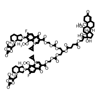 COc1c(N2CC3CCCN(Cc4oc(=O)oc4C)C3C2)c(F)cc2c(=O)c(C(=O)OCOC(=O)OCC(COC(=O)OCOC(=O)c3cn(C4CC4)c4c(OC)c(N5CC6CCCN(Cc7oc(=O)oc7C)C6C5)c(F)cc4c3=O)OC(=O)CCC(=O)OCC(=O)[C@@]3(O)CC[C@H]4[C@@H]5CCC6=CC(=O)CC[C@]6(C)C5[C@@H](O)C[C@@]43C)cn(C3CC3)c12